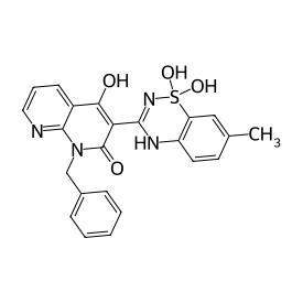 Cc1ccc2c(c1)S(O)(O)N=C(c1c(O)c3cccnc3n(Cc3ccccc3)c1=O)N2